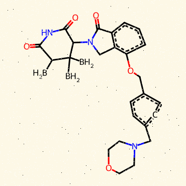 BC1C(=O)NC(=O)C(N2Cc3c(OCc4ccc(CN5CCOCC5)cc4)cccc3C2=O)C1(B)B